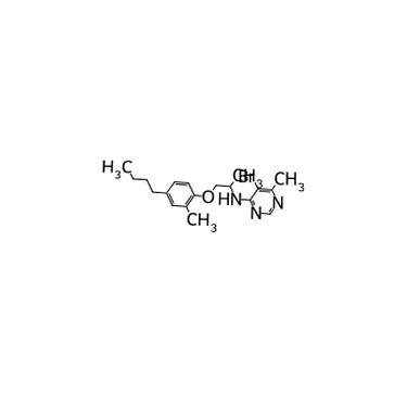 CCCCc1ccc(OCC(C)Nc2ncnc(C)c2Br)c(C)c1